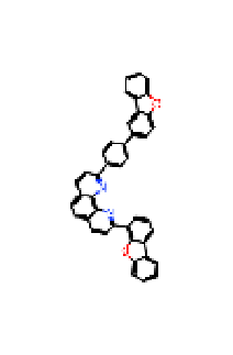 c1ccc2c(c1)oc1ccc(-c3ccc(-c4ccc5ccc6ccc(-c7cccc8c7oc7ccccc78)nc6c5n4)cc3)cc12